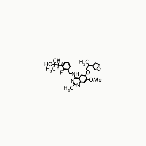 COc1cc2nc(C)nc(NCc3cccc(C(F)(F)C(C)(C)O)c3F)c2cc1OCC(C)C1CCOC1